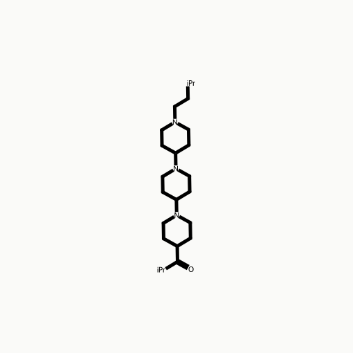 CC(C)CCN1CCC(N2CCC(N3CCC(C(=O)C(C)C)CC3)CC2)CC1